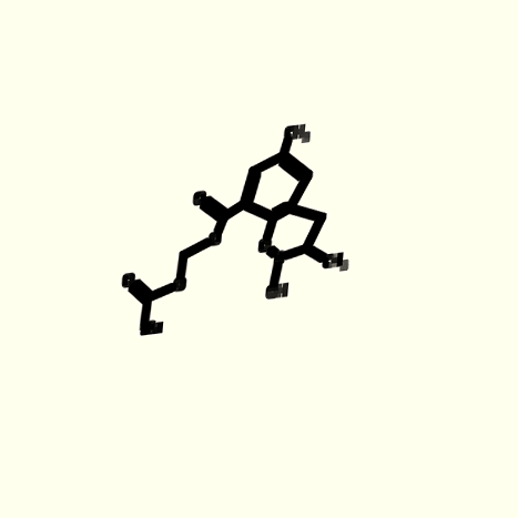 Cc1cc2c(c(C(=O)OCOC(=O)C(C)(C)C)c1)OB(O)C(C)C2